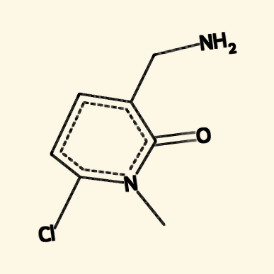 Cn1c(Cl)ccc(CN)c1=O